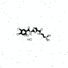 CC(C)N(CCNC(=O)c1csc(NC(=O)c2cc(Cl)c(Cl)cc2O)n1)C(C)C.Cl